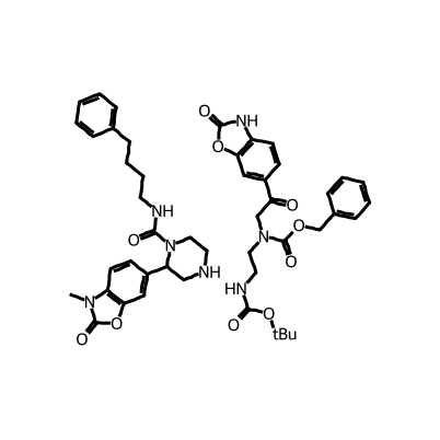 CC(C)(C)OC(=O)NCCN(CC(=O)c1ccc2[nH]c(=O)oc2c1)C(=O)OCc1ccccc1.Cn1c(=O)oc2cc(C3CNCCN3C(=O)NCCCCc3ccccc3)ccc21